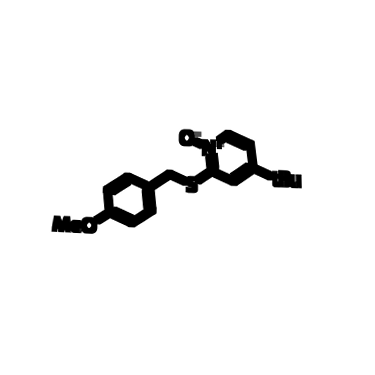 COc1ccc(CSc2cc(C(C)(C)C)cc[n+]2[O-])cc1